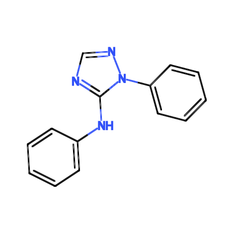 c1ccc(Nc2ncnn2-c2ccccc2)cc1